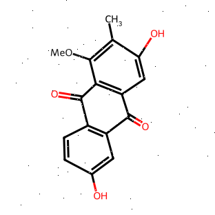 COc1c(C)c(O)cc2c1C(=O)c1ccc(O)cc1C2=O